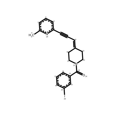 Cc1cccc(C#CC=C2CCN(C(=O)c3cccc(I)c3)CC2)n1